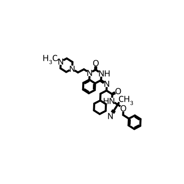 CN1CCN(CCn2c(=O)[nH]/c(=N/C(CC3CCCCC3)C(=O)NC(C)(C#N)OCc3ccccc3)c3ccccc32)CC1